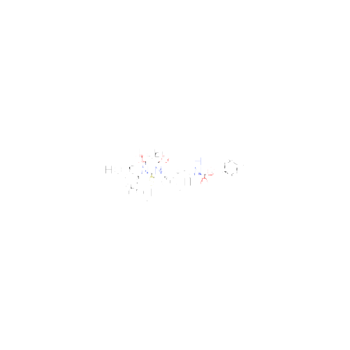 CCC1(CC)C(=O)N([C@@H](CCCCNC(=O)OCc2ccccc2)C(=O)O)C(=S)N([C@@H](CCC(=O)O)C(=O)O)C1=O